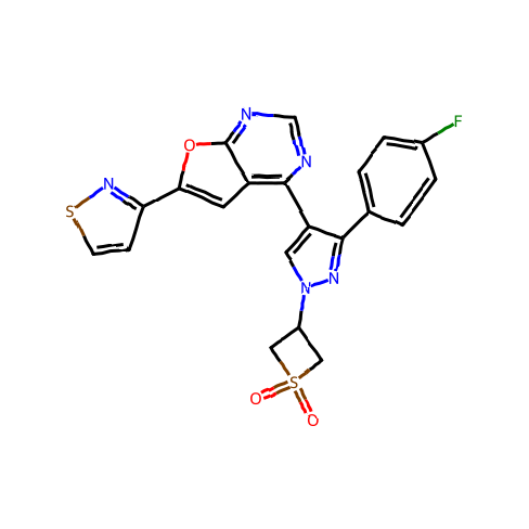 O=S1(=O)CC(n2cc(-c3ncnc4oc(-c5ccsn5)cc34)c(-c3ccc(F)cc3)n2)C1